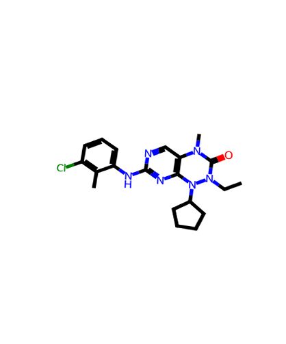 CCN1C(=O)N(C)c2cnc(Nc3cccc(Cl)c3C)nc2N1C1CCCC1